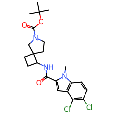 Cn1c(C(=O)NC2CCC23CCN(C(=O)OC(C)(C)C)C3)cc2c(Cl)c(Cl)ccc21